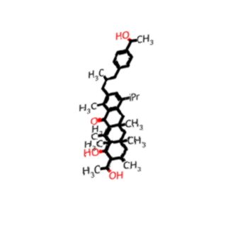 CC1=C2C(=O)c3c(C)c(CC(C)Cc4ccc(C(C)O)cc4)cc(C(C)C)c3CC2(C)CC2(C)CC(C)C(C(C)O)C(O)C12C